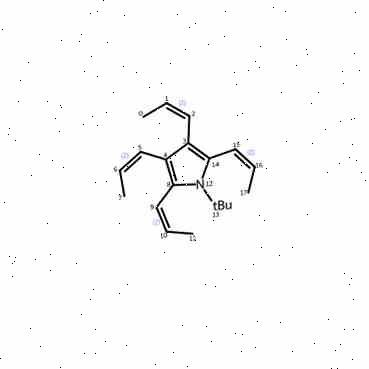 C/C=C\c1c(/C=C\C)c(/C=C\C)n(C(C)(C)C)c1/C=C\C